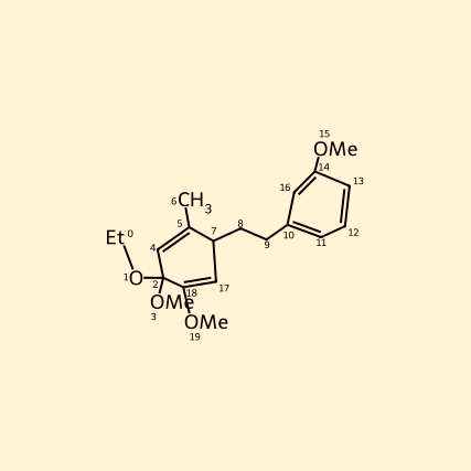 CCOC1(OC)C=C(C)C(CCc2cccc(OC)c2)C=C1OC